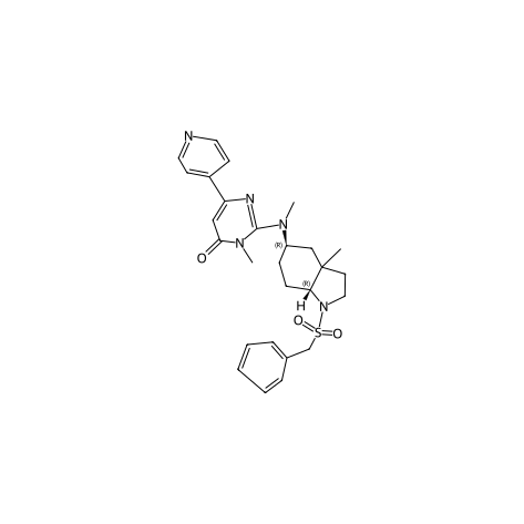 CN(c1nc(-c2ccncc2)cc(=O)n1C)[C@@H]1CC[C@H]2N(S(=O)(=O)Cc3ccccc3)CCC2(C)C1